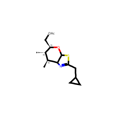 CC(=O)OC[C@H]1OC2SC(CC3CC3)=NC2[C@@H](C)[C@@H]1C